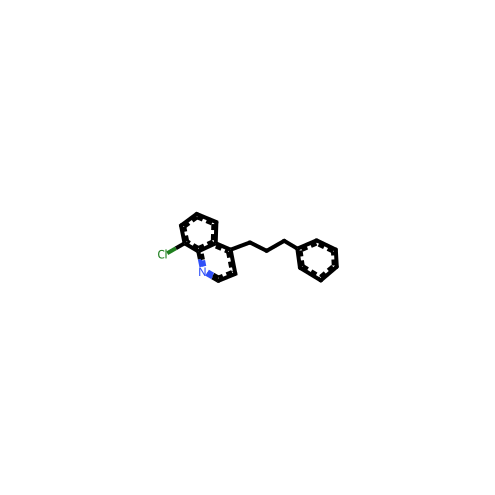 Clc1cccc2c(CCCc3ccccc3)ccnc12